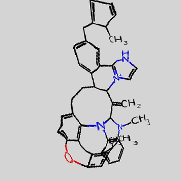 C=C1C2N(C)c3cccc4c3N2c2c(ccc3oc5cccc(c5c23)C4(C)C)CCC2c3ccc(CC4=CC=CC4C)cc3-c3[nH]cc[n+]3C12